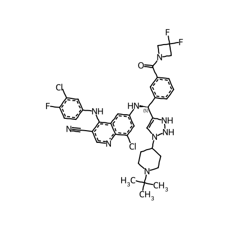 CC(C)(C)N1CCC(N2C=C([C@@H](Nc3cc(Cl)c4ncc(C#N)c(Nc5ccc(F)c(Cl)c5)c4c3)c3cccc(C(=O)N4CC(F)(F)C4)c3)NN2)CC1